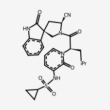 CC(C)C[C@H](C(=O)N1C[C@]2(C[C@H]1C#N)C(=O)Nc1ccccc12)n1cccc(NS(=O)(=O)C2CC2)c1=O